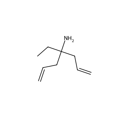 C=CCC(N)(CC)CC=C